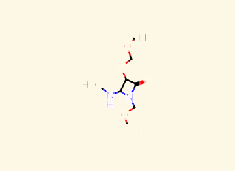 CNC1C(OCOC)C(=O)N1COC